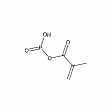 C=C(C)C(=O)O[P](=O)O